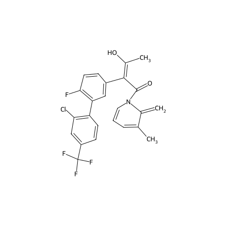 C=C1C(C)=CC=CN1C(=O)/C(=C(\C)O)c1ccc(F)c(-c2ccc(C(F)(F)F)cc2Cl)c1